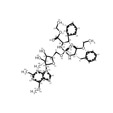 CCOC(=O)[C@H](Cc1ccccc1)NP(=O)(N[C@H](Cc1ccccc1)C(=O)OCC)OC[C@H]1O[C@@H](n2cnc3c(OC)nc(C)nc32)[C@@](C)(O)C1O